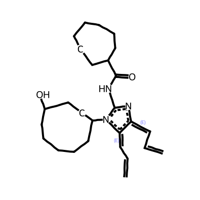 C=C/C=c1/nc(NC(=O)C2CCCCCCC2)n(C2CCCCCC(O)CC2)/c1=C/C=C